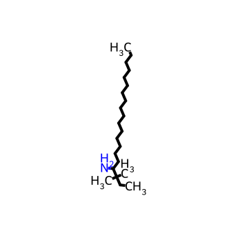 CCCCCCCCCCCCCCCCC(N)C(C)(C)CC